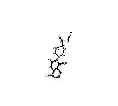 Cc1nc2c(F)cccc2c(=O)n1C1CCC(C(=O)C=O)NC1